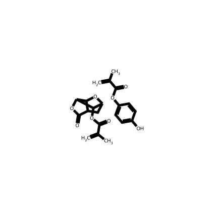 C=C(C)C(=O)OC1C2CC3C(=O)OC1C3O2.C=C(C)C(=O)Oc1ccc(O)cc1